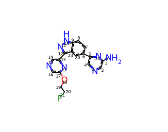 Nc1cncc(-c2ccc3[nH]nc(-c4cncc(OCCF)n4)c3c2)n1